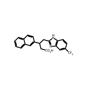 O=C(O)CC(Cc1nc2cc(C(F)(F)F)ccc2[nH]1)c1ccc2ccccc2c1